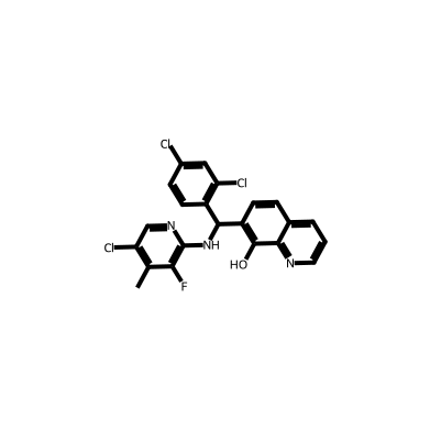 Cc1c(Cl)cnc(NC(c2ccc(Cl)cc2Cl)c2ccc3cccnc3c2O)c1F